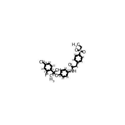 CCS(=O)(=O)c1ccc(CC(=O)Nc2ccc(OC(C)(C)c3ccc(Cl)cc3F)cc2)cc1